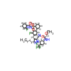 CCCCc1nn(-c2cc(NC(=O)COC)ccc2C(F)(F)F)c(C#N)c1Cc1ccc(-c2ccccc2S(=O)(=O)NC(=O)c2ccccc2F)cc1F